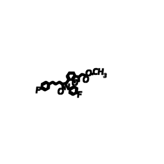 CCOC(=O)CC1COc2c1cccc2C1C(CCCc2ccc(F)cc2)C(=O)N1c1ccc(F)cc1